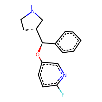 Fc1ccc(O[C@H](c2ccccc2)[C@@H]2CCNC2)cn1